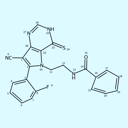 N#Cc1c(-c2ccccc2F)n(CCNC(=O)c2ccccc2)c2c(=S)[nH]cnc12